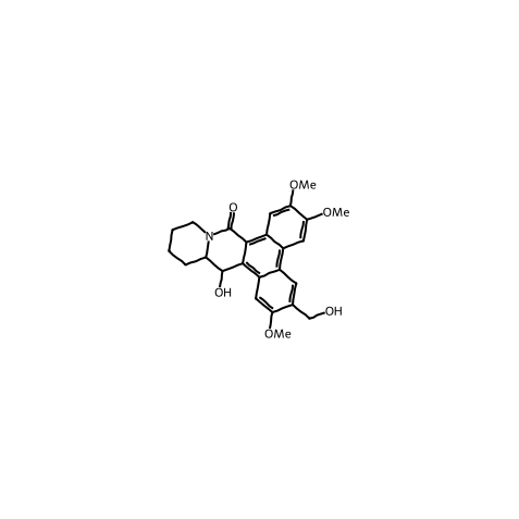 COc1cc2c3c(c4cc(OC)c(OC)cc4c2cc1CO)C(=O)N1CCCCC1C3O